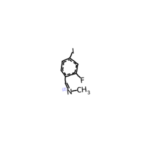 C/N=C\c1ccc(I)cc1F